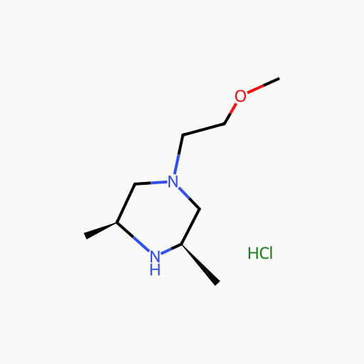 COCCN1C[C@@H](C)N[C@@H](C)C1.Cl